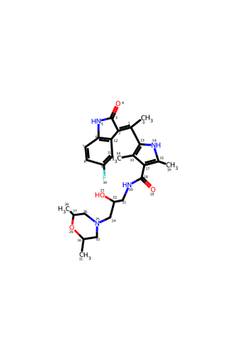 CC(=C1C(=O)Nc2ccc(F)cc21)c1[nH]c(C)c(C(=O)NCC(O)CN2CC(C)OC(C)C2)c1C